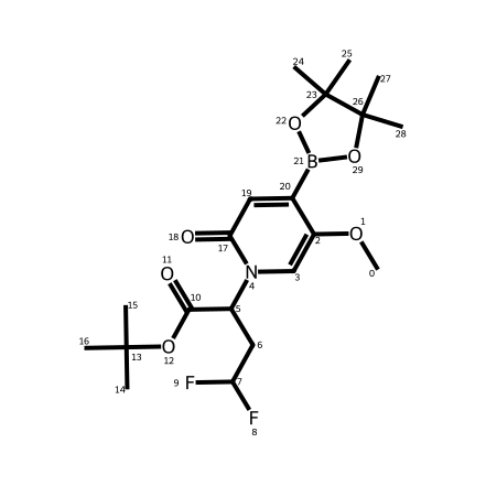 COc1cn(C(CC(F)F)C(=O)OC(C)(C)C)c(=O)cc1B1OC(C)(C)C(C)(C)O1